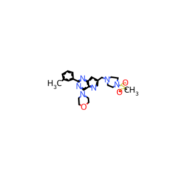 Cc1cccc(-c2nc(N3CCOCC3)c3ncc(CN4CCN(S(C)(=O)=O)CC4)cc3n2)c1